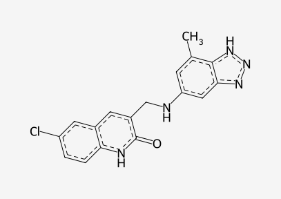 Cc1cc(NCc2cc3cc(Cl)ccc3[nH]c2=O)cc2nn[nH]c12